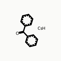 O=C(c1ccccc1)c1ccccc1.[CsH]